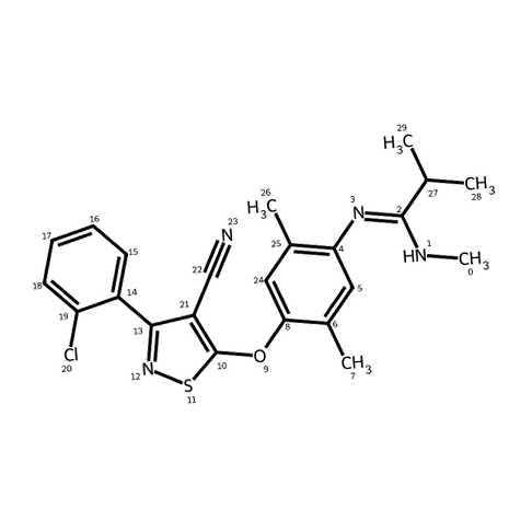 CNC(=Nc1cc(C)c(Oc2snc(-c3ccccc3Cl)c2C#N)cc1C)C(C)C